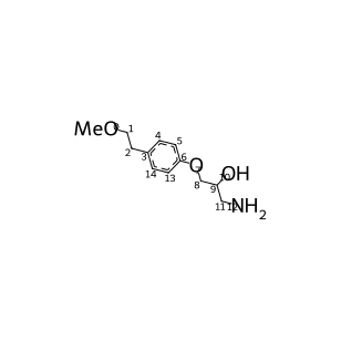 COCCc1ccc(OCC(O)CN)cc1